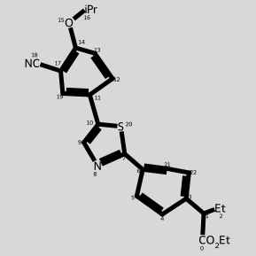 CCOC(=O)C(CC)c1ccc(-c2ncc(-c3ccc(OC(C)C)c(C#N)c3)s2)cc1